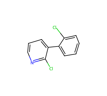 Clc1ccccc1-c1cccnc1Cl